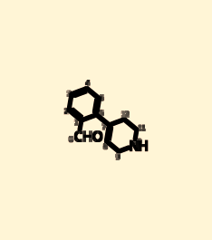 O=Cc1ccccc1C1=CCNCC1